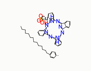 CCCCCCCCCCCCCCc1cc[c]cc1.O=[S](=O)(O)[Cu][c]1cccc2c3nc4nc(nc5[nH]c(nc6nc(nc([nH]3)c12)-c1ccccc1-6)c1ccccc51)-c1ccccc1-4